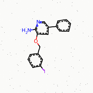 Nc1ncc(-c2ccccc2)cc1OCc1cccc(I)c1